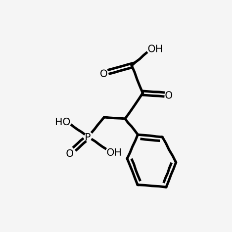 O=C(O)C(=O)C(CP(=O)(O)O)c1ccccc1